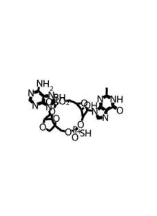 B[P@@]1(=O)OCC2OC(n3cnc4c(=O)[nH]c(C)nc43)C(O[P@](=O)(S)OCC34COC(C(n5cnc6c(N)ncnc65)O3)C4O1)C2O